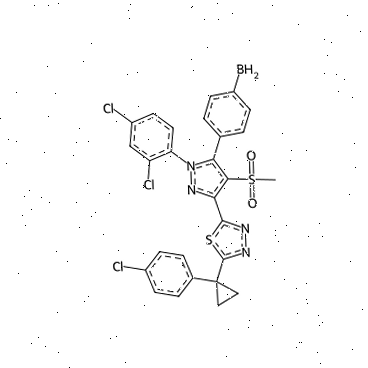 Bc1ccc(-c2c(S(C)(=O)=O)c(-c3nnc(C4(c5ccc(Cl)cc5)CC4)s3)nn2-c2ccc(Cl)cc2Cl)cc1